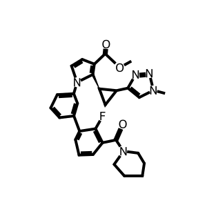 COC(=O)c1ccn(-c2cccc(-c3cccc(C(=O)N4CCCCC4)c3F)c2)c1[C@@H]1CC1c1cn(C)nn1